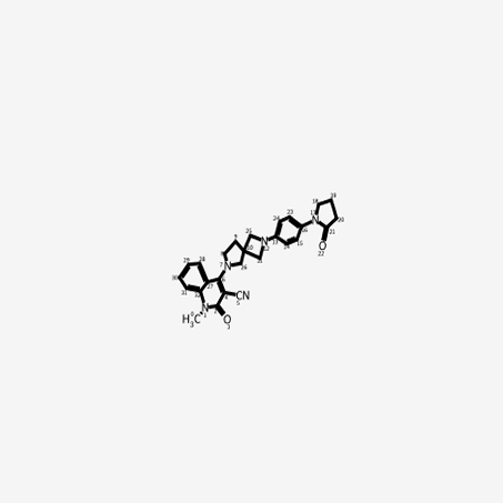 Cn1c(=O)c(C#N)c(N2CCC3(CN(c4ccc(N5CCCC5=O)cc4)C3)C2)c2ccccc21